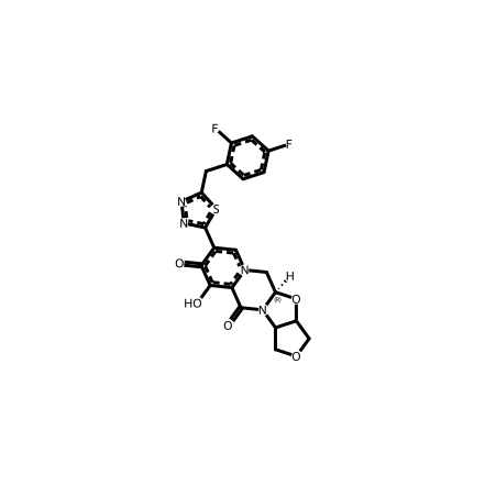 O=C1c2c(O)c(=O)c(-c3nnc(Cc4ccc(F)cc4F)s3)cn2C[C@H]2OC3COCC3N12